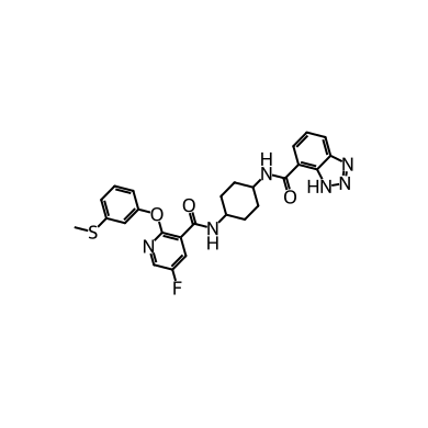 CSc1cccc(Oc2ncc(F)cc2C(=O)NC2CCC(NC(=O)c3cccc4nn[nH]c34)CC2)c1